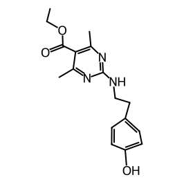 CCOC(=O)c1c(C)nc(NCCc2ccc(O)cc2)nc1C